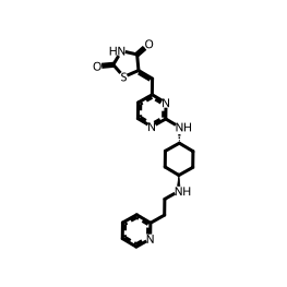 O=C1NC(=O)/C(=C/c2ccnc(N[C@H]3CC[C@H](NCCc4ccccn4)CC3)n2)S1